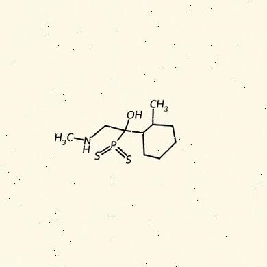 CNCC(O)(C1CCCCC1C)P(=S)=S